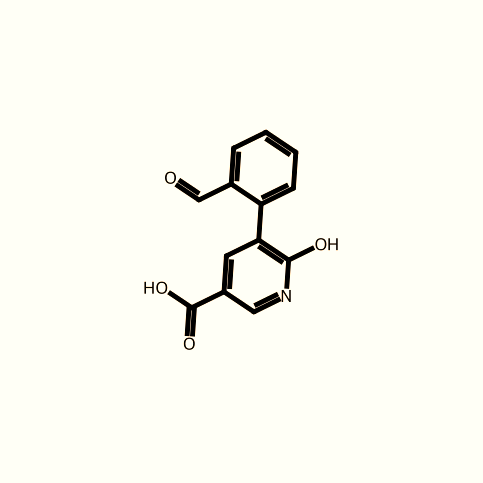 O=Cc1ccccc1-c1cc(C(=O)O)cnc1O